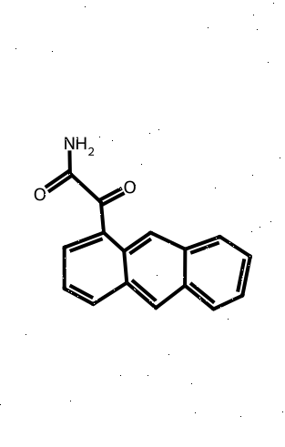 NC(=O)C(=O)c1cccc2cc3ccccc3cc12